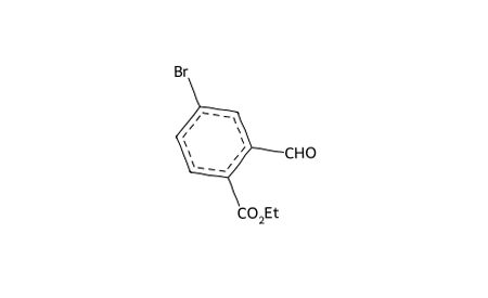 CCOC(=O)c1ccc(Br)cc1C=O